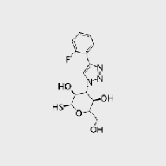 OCC1O[C@@H](S)[C@@H](O)C(n2cc(-c3ccccc3F)nn2)[C@H]1O